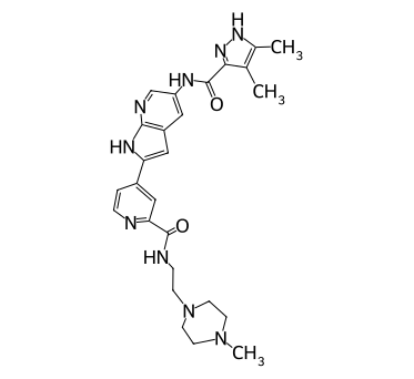 Cc1[nH]nc(C(=O)Nc2cnc3[nH]c(-c4ccnc(C(=O)NCCN5CCN(C)CC5)c4)cc3c2)c1C